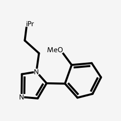 COc1ccccc1-c1cncn1CCC(C)C